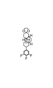 Fc1cc(C2CC[C@H]3[C@@H](CC[C@@H]4CC5(CC[C@H]43)OCCO5)C2)cc(F)c1F